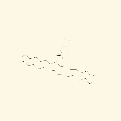 CCCCCCCCCOCCOCCO.CCCCCCCCCOCCOCCO.O=P([O-])([O-])[O-].[Na+].[Na+].[Na+]